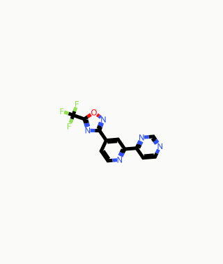 FC(F)(F)c1nc(-c2ccnc(-c3ccncn3)c2)no1